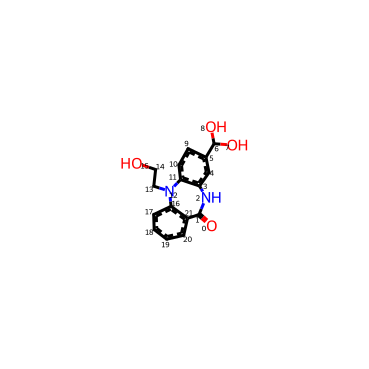 O=C1Nc2cc(C(O)O)ccc2N(CCO)c2ccccc21